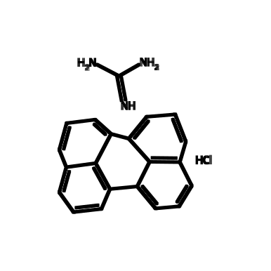 Cl.N=C(N)N.c1cc2cccc3c4cccc5cccc(c(c1)c23)c54